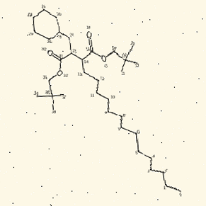 CCCCCCCCCCCCCCC(C(=O)OCC(C)(C)C)C(CC1CCCCC1)C(=O)OCC(C)(C)C